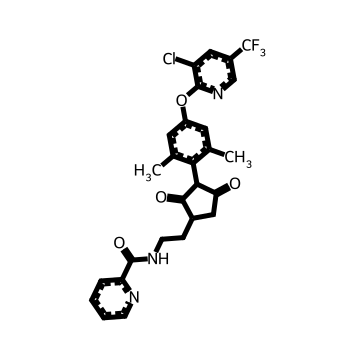 Cc1cc(Oc2ncc(C(F)(F)F)cc2Cl)cc(C)c1C1C(=O)CC(CCNC(=O)c2ccccn2)C1=O